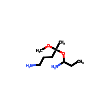 CCC(N)O[Si](C)(CCCN)OC